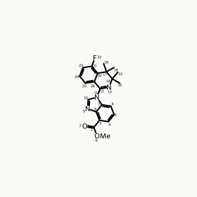 COC(=O)c1cccc2c1ncn2C1=NC(C)(C)C(C)(C)c2c(F)cccc21